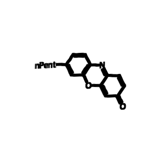 CCCCCc1ccc2nc3ccc(=O)cc-3oc2c1